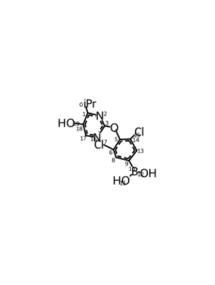 CC(C)c1nc(Oc2c(Cl)cc(B(O)O)cc2Cl)ncc1O